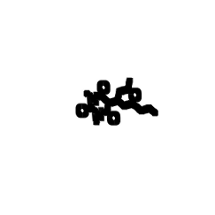 C/C=C/C1=CC(=C2C(=O)N(C)C(=O)N(C)C2=O)C=C(C)O1